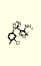 C/N=C(\Nc1ccc(C)c(Cl)c1)c1nonc1N